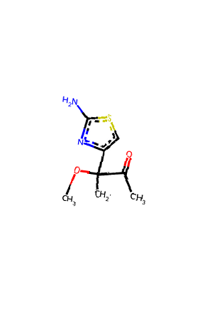 [CH2]C(OC)(C(C)=O)c1csc(N)n1